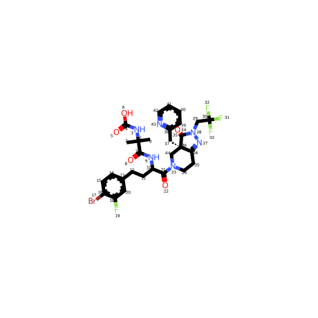 CC(C)(NC(=O)O)C(=O)NC(CCc1ccc(Br)c(F)c1)C(=O)N1CCC2=NN(CC(F)(F)F)C(=O)[C@]2(Cc2ccccn2)C1